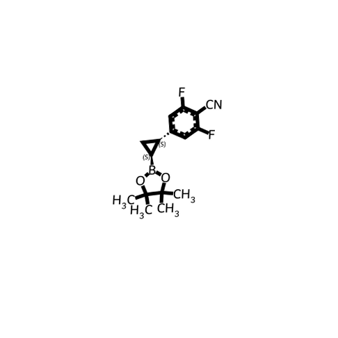 CC1(C)OB([C@H]2C[C@@H]2c2cc(F)c(C#N)c(F)c2)OC1(C)C